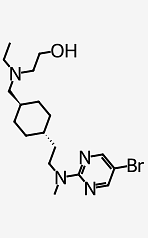 CCN(CCO)C[C@H]1CC[C@H](CCN(C)c2ncc(Br)cn2)CC1